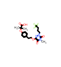 Cn1c(=O)c(OCCc2ccc(OC(C)(C)C(=O)O)cc2)nn(CCCC(F)(F)F)c1=O